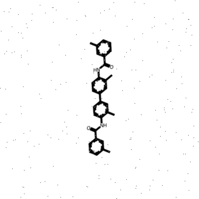 Cc1cccc(C(=O)Nc2ccc(-c3ccc(NC(=O)c4cccc(C)c4)c(C)c3)cc2C)c1